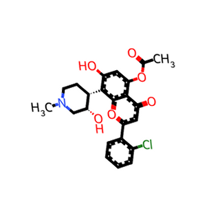 CC(=O)Oc1cc(O)c([C@H]2CCN(C)C[C@H]2O)c2oc(-c3ccccc3Cl)cc(=O)c12